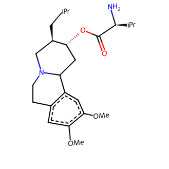 COc1cc2c(cc1OC)C1C[C@@H](OC(=O)[C@@H](N)C(C)C)[C@H](CC(C)C)CN1CC2